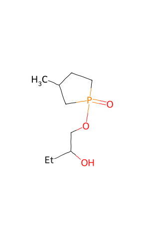 CCC(O)COP1(=O)CCC(C)C1